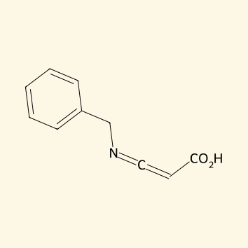 O=C(O)C=C=NCc1ccccc1